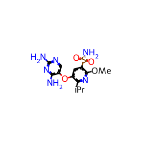 COc1nc(C(C)C)c(Oc2cnc(N)nc2N)cc1S(N)(=O)=O